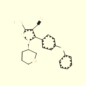 N#Cc1c(N)nn([C@@H]2CCCNC2)c1-c1ccc(Oc2ccccc2)cc1